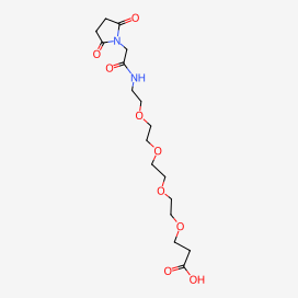 O=C(O)CCOCCOCCOCCOCCNC(=O)CN1C(=O)CCC1=O